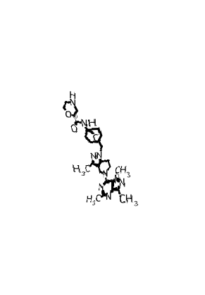 Cc1nc(N2CCc3c(c(C)nn3CC34CCC(NC(=O)[C@H]5CNCCO5)(CC3)CC4)C2)c2c(n1)c(C)nn2C